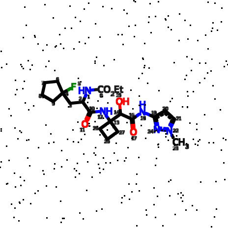 CCOC(=O)NC(CC1(F)CCCC1)C(=O)NC1(C(O)C(=O)Nc2ccn(C)n2)CCC1